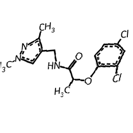 Cc1nn(C)cc1CNC(=O)C(C)Oc1ccc(Cl)cc1Cl